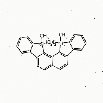 C[Si]1(C)c2ccccc2-c2ccc3ccc4c(c3c21)[Si](C)(C)c1ccccc1-4